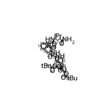 CC(C)[C@H](CCC(N)=O)NC(=O)[C@@H]1Cc2cccc3c2N1C(=O)[C@@H](NC(=O)c1cc2cc(CP(=O)(OCOC(=O)C(C)(C)C)OCOC(=O)C(C)(C)C)ccc2[nH]1)CC3